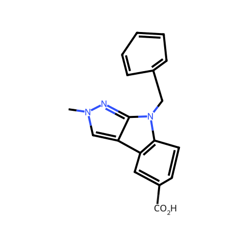 Cn1cc2c3cc(C(=O)O)ccc3n(Cc3ccccc3)c2n1